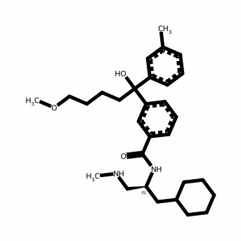 CNC[C@H](CC1CCCCC1)NC(=O)c1cccc(C(O)(CCCCOC)c2cccc(C)c2)c1